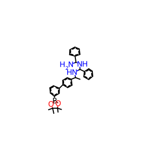 CC(NC(NC(N)c1ccccc1)c1ccccc1)c1ccc(-c2cccc(B3OC(C)(C)C(C)(C)O3)c2)cc1